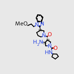 COCCCn1c([C@@H]2CCCN(C(=O)[C@@H]3CN(C(=O)NC4CCCC4)C[C@H]3N)C2)nc2ccccc21